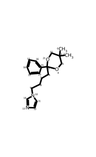 CC1(C)COC(CCCCn2ccnc2)(c2ccccc2)OC1